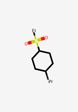 CCS(=O)(=O)C1CCC(C(C)C)CC1